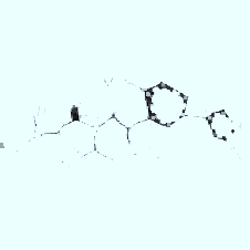 CNc1ccc(-c2cnoc2)cc1C(C=O)CN(C(=O)CN(C)C)C(C)C#N